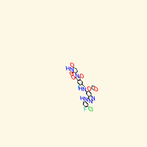 O=C1CCC(N2C(=O)c3cc(F)c(CNc4cc5c(Nc6ccc(F)c(Cl)c6)ncnc5cc4OC4CCOC4)cc3C2=O)C(=O)N1